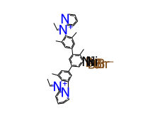 CC=[N+](c1ccccn1)c1c(C)cc(-c2ccc(C)c(-c3cc(C)c([N+](=CC)c4ccccn4)c(C)c3)c2)cc1C.[Br-].[Br-].[Br-].[Br-].[Ni].[Ni]